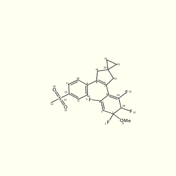 COC1(F)C=C(F)C(C2=C(c3ccc(S(C)(=O)=O)cc3)CC3(CC3)C2)=C(F)C1F